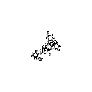 O=S(=O)(c1ccc(F)cc1)C1(c2ccc(C(OCc3cccnc3Br)(C(F)(F)F)C(F)(F)F)cc2)CCCC1